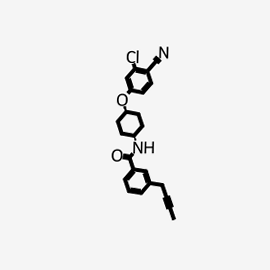 CC#CCc1cccc(C(=O)N[C@H]2CC[C@H](Oc3ccc(C#N)c(Cl)c3)CC2)c1